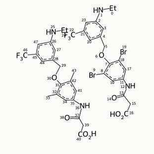 CCNc1cc(COc2c(Br)cc(NC(=O)CC(=O)O)cc2Br)cc(C(F)(F)F)c1.CCNc1cc(COc2c(C)cc(NC(=O)CC(=O)O)cc2C)cc(C(F)(F)F)c1